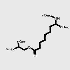 CCCCCCCCCCNC(CCCCCCCCCC)CCCCCCC(=O)OCC(CCCCCC)CCCCCCCC